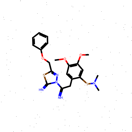 COc1cc(CC(=N)n2nc(COc3ccccc3)sc2=N)c(SN(C)C)cc1OC